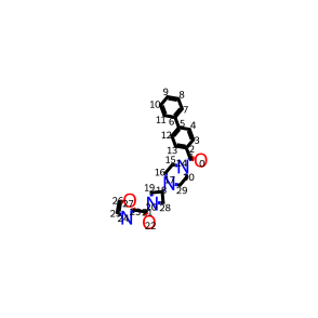 O=C(c1ccc(-c2ccccc2)cc1)N1CCN(C2CN(C(=O)c3ncco3)C2)CC1